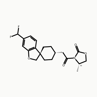 C[C@H]1COC(=O)N1C(=O)C[C@H]1CC[C@@]2(CC1)COc1cc(C(F)F)ccc12